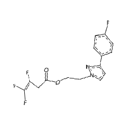 O=C(CC(F)=C(F)F)OCCn1ccc(-c2ccc(F)cc2)n1